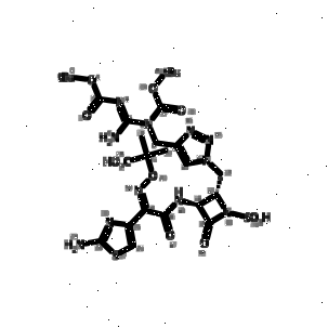 CC(C)(C)OC(=O)/N=C(\N)N(Cc1cn(C[C@H]2[C@H](NC(=O)C(=NOC(C)(C)C(=O)O)c3csc(N)n3)C(=O)N2S(=O)(=O)O)nn1)C(=O)OC(C)(C)C